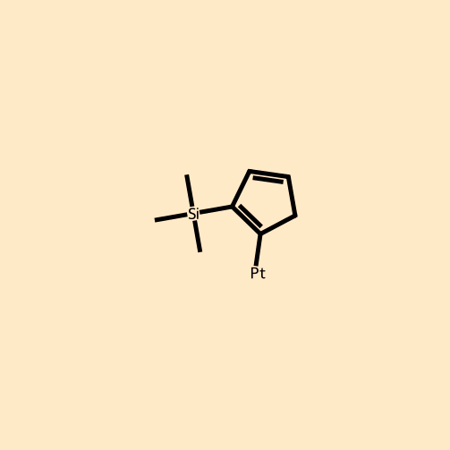 C[Si](C)(C)C1=[C]([Pt])CC=C1